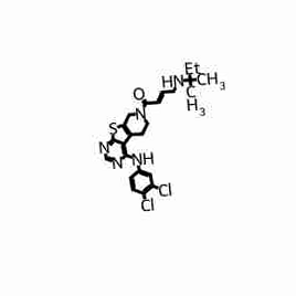 CCC(C)(C)NC/C=C/C(=O)N1CCc2c(sc3ncnc(Nc4ccc(Cl)c(Cl)c4)c23)C1